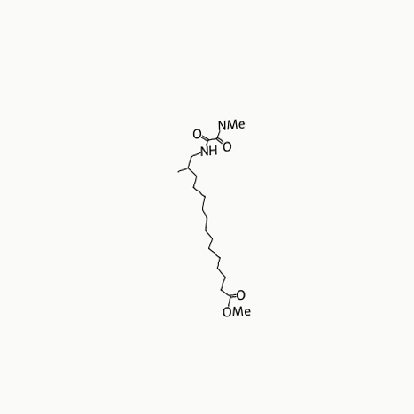 CNC(=O)C(=O)NCC(C)CCCCCCCCCCCCC(=O)OC